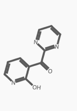 O=C(c1ncccn1)c1cccnc1O